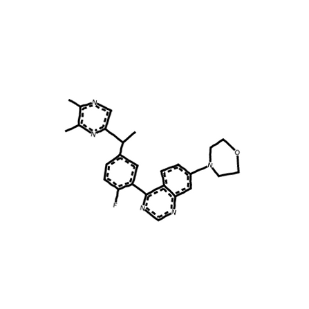 Cc1ncc(C(C)c2ccc(F)c(-c3ncnc4cc(N5CCOCC5)ccc34)c2)nc1C